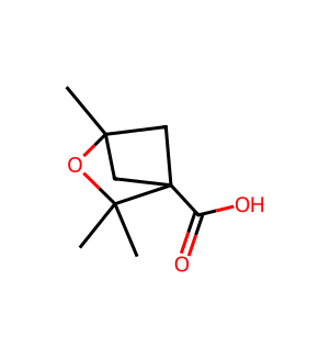 CC12CC(C(=O)O)(C1)C(C)(C)O2